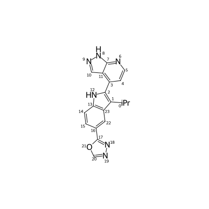 CC(C)c1c(-c2ccnc3[nH]ncc23)[nH]c2ccc(-c3nn[c]o3)cc12